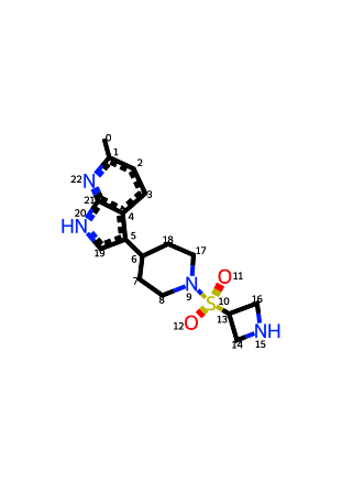 Cc1ccc2c(C3CCN(S(=O)(=O)C4CNC4)CC3)c[nH]c2n1